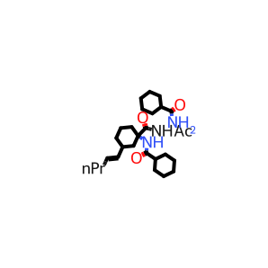 CCCC=CC1CCCC(NC(=O)C2CCCCC2)(C(=O)NC(C)=O)C1.NC(=O)C1CCCCC1